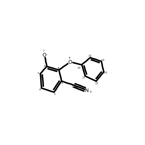 N#Cc1cccc([O])c1Oc1ccccc1